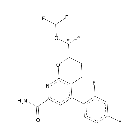 C[C@@H](OC(F)F)C1CCc2c(-c3ccc(F)cc3F)cc(C(N)=O)nc2O1